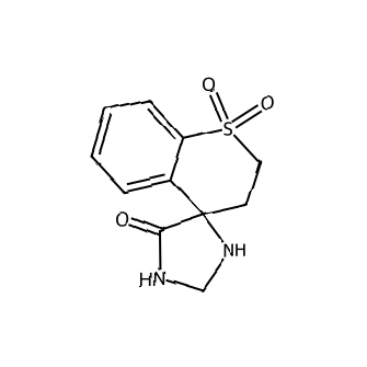 O=C1NCNC12CCS(=O)(=O)c1ccccc12